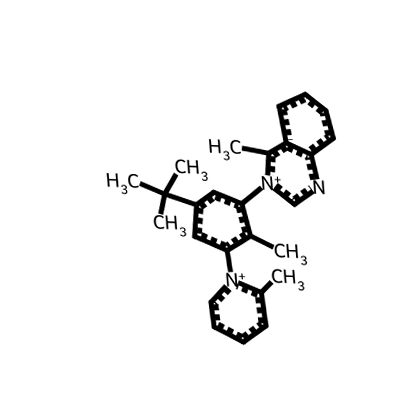 Cc1c(-[n+]2ccccc2C)cc(C(C)(C)C)cc1-[n+]1cnc2ccccc2c1C